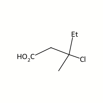 CCC(C)(Cl)CC(=O)O